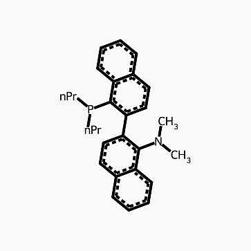 CCCP(CCC)c1c(-c2ccc3ccccc3c2N(C)C)ccc2ccccc12